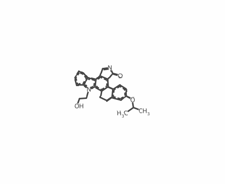 CC(C)Oc1ccc2c(c1)CCc1c-2c2c(c3c4ccccc4n(CCO)c13)C=NC2=O